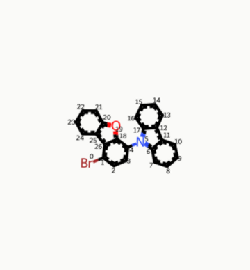 Brc1ccc(-n2c3ccccc3c3ccccc32)c2oc3ccccc3c12